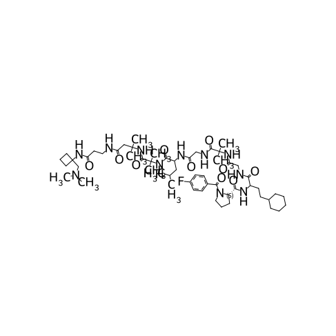 CC(C)CC(NC(=O)CNC(=O)C(C)(C)NC(=O)CNC(=O)C(CCC1CCCCC1)NC(=O)[C@@H]1CCCN1C(=O)c1ccc(F)cc1)C(=O)NC(C)(C)C(=O)NC(C)(C)CC(=O)NCCC(=O)NC1(CN(C)C)CCC1